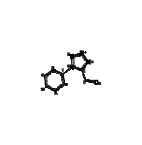 O=Cc1nnnn1-c1ccccc1